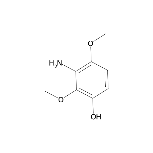 COc1ccc(O)c(OC)c1N